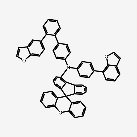 c1ccc2c(c1)Oc1ccccc1C21c2ccccc2-c2c(N(c3ccc(-c4ccccc4-c4ccc5occc5c4)cc3)c3ccc(-c4cccc5ccoc45)cc3)cccc21